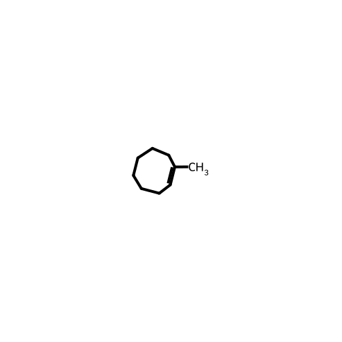 C/C1=C/CCCCCC1